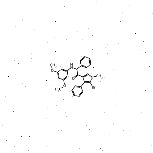 COc1cc(NC(C(=O)c2cn(C)c(Br)c2-c2ccccc2)c2ccccc2)cc(OC)c1